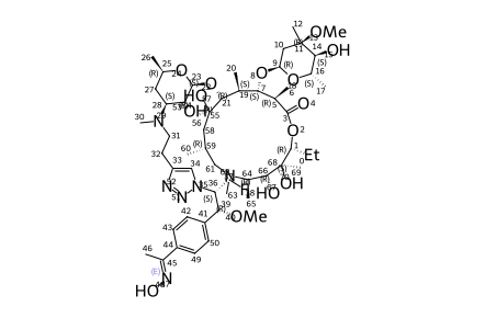 CC[C@H]1OC(=O)[C@H](C)[C@@H](O[C@H]2C[C@@](C)(OC)[C@@H](O)[C@H](C)O2)[C@H](C)[C@@H](O[C@@H]2O[C@H](C)C[C@H](N(C)CCc3cn([C@H](CF)[C@H](OC)c4ccc(/C(C)=N/O)cc4)nn3)[C@H]2O)[C@](C)(O)C[C@@H](C)CN(C)[C@H](C)[C@@H](O)[C@]1(C)O